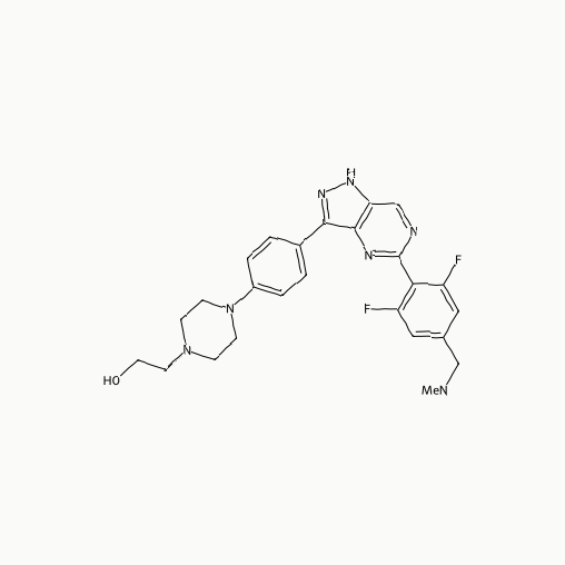 CNCc1cc(F)c(-c2ncc3[nH]nc(-c4ccc(N5CCN(CCO)CC5)cc4)c3n2)c(F)c1